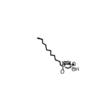 C=CCCCCCCCCCP(=O)(O)CP(=O)(O)O